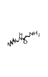 [N-]=[N+]=NCNC(=O)CCN